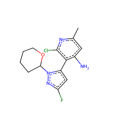 Cc1cc(N)c(-c2cc(F)nn2C2CCCCO2)c(Cl)n1